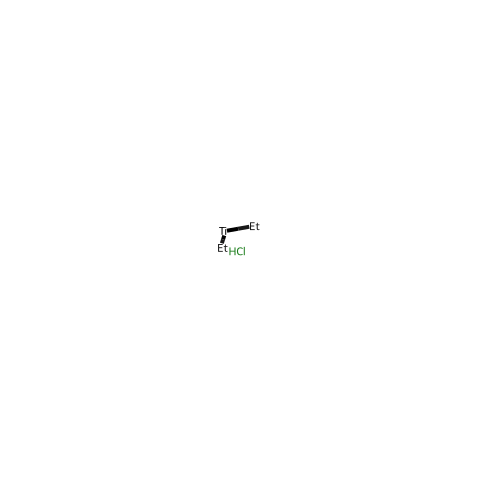 C[CH2][Ti][CH2]C.Cl